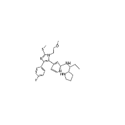 CCC(Nc1cc(-c2c(-c3ccc(F)cc3)nc(SC)n2CCOC)ccn1)C1CCCN1